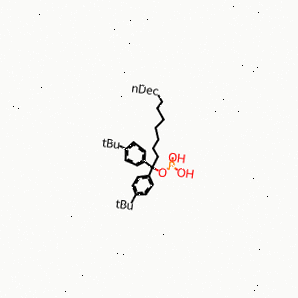 CCCCCCCCCCCCCCCCCC(OP(O)O)(c1ccc(C(C)(C)C)cc1)c1ccc(C(C)(C)C)cc1